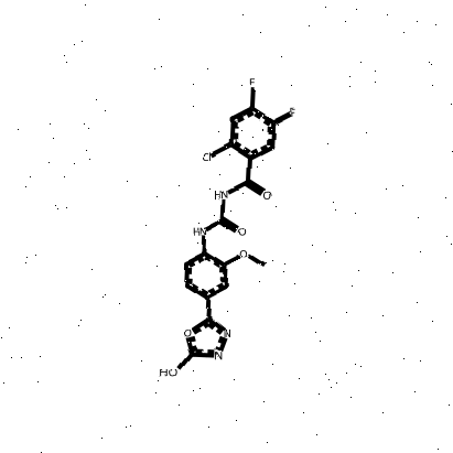 COc1cc(-c2nnc(O)o2)ccc1NC(=O)NC(=O)c1cc(F)c(F)cc1Cl